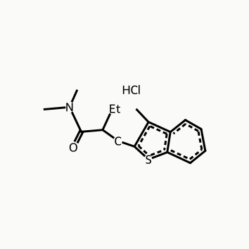 CCC(Cc1sc2ccccc2c1C)C(=O)N(C)C.Cl